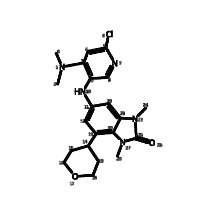 CN(C)c1cc(Cl)ncc1Nc1cc(C2CCOCC2)c2c(c1)n(C)c(=O)n2C